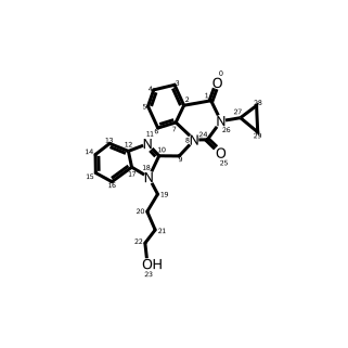 O=c1c2ccccc2n(Cc2nc3ccccc3n2CCCCO)c(=O)n1C1CC1